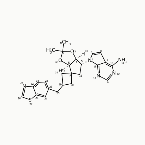 CC1(C)O[C@H]2[C@H](n3ccc4c(N)ncnc43)CC3(CC(Cc4ccc5ncsc5c4)C3)[C@H]2O1